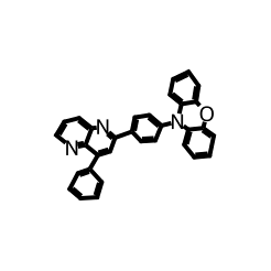 c1ccc(-c2cc(-c3ccc(N4c5ccccc5Oc5ccccc54)cc3)nc3cccnc23)cc1